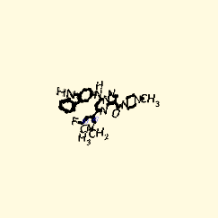 C=N/C=C(\C=C(/C)F)c1cc(N[C@@H]2CCc3[nH]c4ccccc4c3C2)n2ncc(C(=O)N3CCN(C)CC3)c2n1